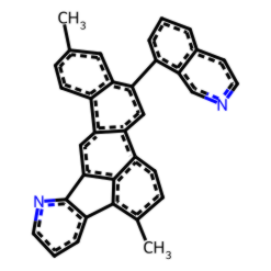 Cc1ccc2c(c1)c(-c1cccc3ccncc13)cc1c3ccc(C)c4c3c(cc21)-c1ncccc1-4